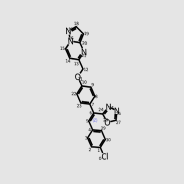 Clc1ccc(/C=C(/c2ccc(OCc3ccn4nccc4n3)cc2)c2nnco2)cc1